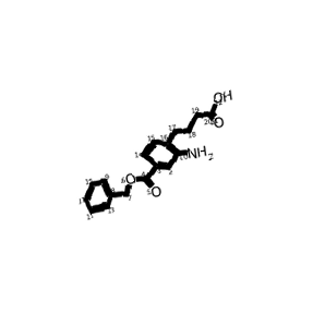 Nc1cc(C(=O)OCc2ccccc2)ccc1CCCC(=O)O